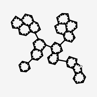 c1ccc(-c2ccc3c(-c4cc(-c5ccc6ccc7cccc8ccc5c6c78)cc5c(-c6ccc7oc8ccccc8c7c6)cccc45)cc(-c4ccc5ccc6cccc7ccc4c5c67)cc3c2)cc1